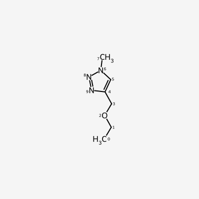 CCOCc1cn(C)nn1